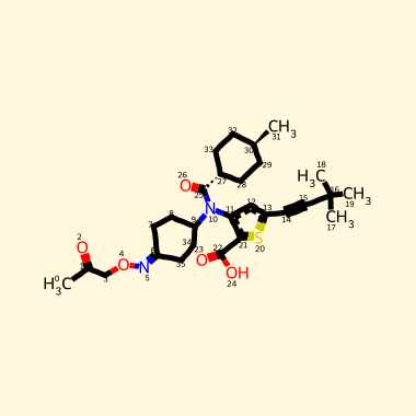 CC(=O)CON=C1CCC(N(c2cc(C#CC(C)(C)C)sc2C(=O)O)C(=O)[C@H]2CC[C@H](C)CC2)CC1